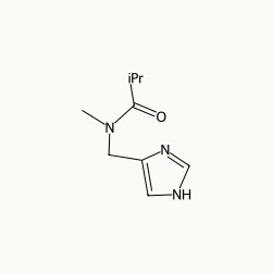 CC(C)C(=O)N(C)Cc1c[nH]cn1